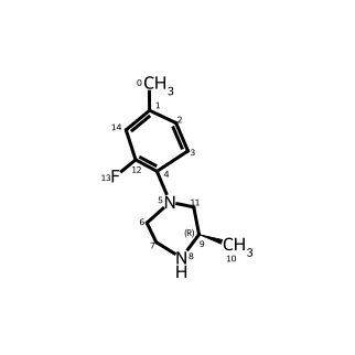 Cc1ccc(N2CCN[C@H](C)C2)c(F)c1